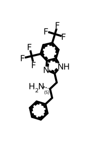 N[C@@H](Cc1ccccc1)Cc1nc2c(C(F)(F)F)cc(C(F)(F)F)cc2[nH]1